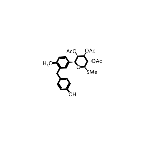 CS[C@H]1O[C@@H](c2ccc(C)c(Cc3ccc(O)cc3)c2)[C@H](OC(C)=O)[C@@H](OC(C)=O)[C@@H]1OC(C)=O